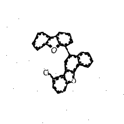 Clc1cccc2oc3c4ccccc4c(-c4cccc5c4oc4ccccc45)cc3c12